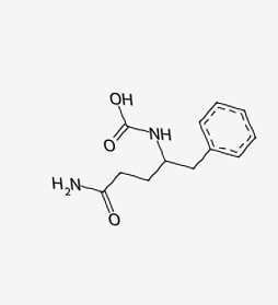 NC(=O)CCC(Cc1ccccc1)NC(=O)O